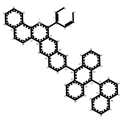 C/C=C\C(=C/C)c1nc2c3ccccc3ccc2c2cc3ccc(-c4c5ccccc5c(-c5cccc6ccccc56)c5ccccc45)cc3cc12